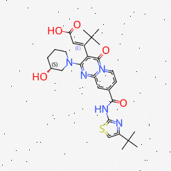 CC(C)(C)/C(=C\C(=O)O)c1c(N2CCC[C@H](O)C2)nc2cc(C(=O)Nc3nc(C(C)(C)C)cs3)ccn2c1=O